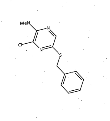 CNc1ncc(SCc2ccccc2)nc1Cl